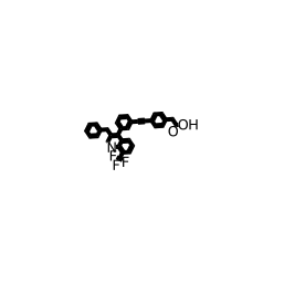 O=C(O)Cc1ccc(C#Cc2cccc(-c3c(Cc4ccccc4)cnc4c(C(F)(F)F)cccc34)c2)cc1